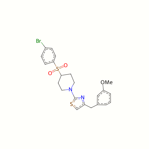 COc1cccc(Cc2csc(N3CCC(S(=O)(=O)c4ccc(Br)cc4)CC3)n2)c1